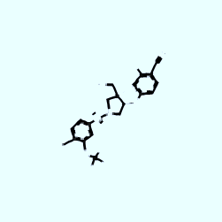 N#Cc1ccc(O[C@H]2CN(S(=O)(=O)c3ccc(Cl)c(OC(F)(F)F)c3)C[C@@]2(O)CO)cc1F